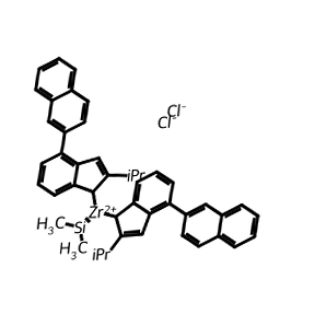 CC(C)C1=Cc2c(-c3ccc4ccccc4c3)cccc2[CH]1[Zr+2]([CH]1C(C(C)C)=Cc2c(-c3ccc4ccccc4c3)cccc21)=[Si](C)C.[Cl-].[Cl-]